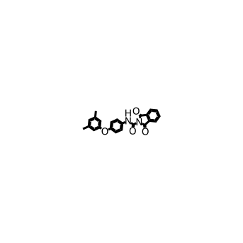 Cc1cc(C)cc(Oc2ccc(NC(=O)N3C(=O)c4ccccc4C3=O)cc2)c1